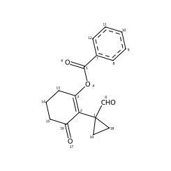 O=CC1(C2=C(OC(=O)c3ccccc3)CCCC2=O)CC1